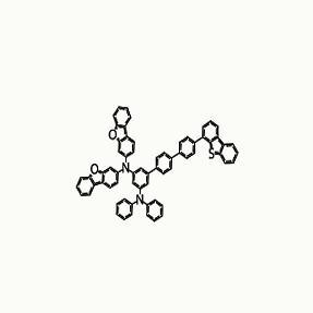 c1ccc(N(c2ccccc2)c2cc(-c3ccc(-c4ccc(-c5cccc6c5sc5ccccc56)cc4)cc3)cc(N(c3ccc4c(c3)oc3ccccc34)c3ccc4c(c3)oc3ccccc34)c2)cc1